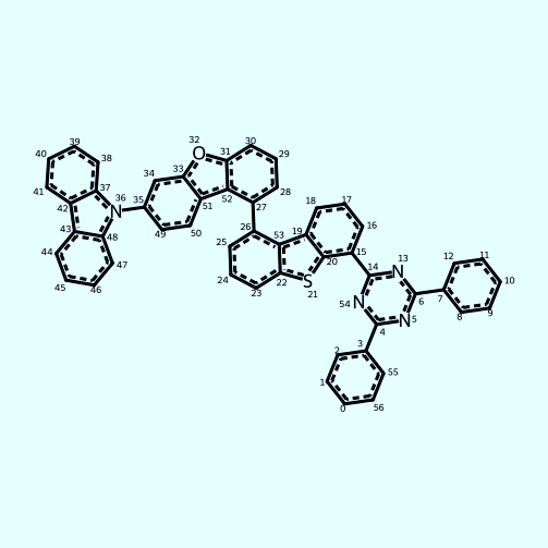 c1ccc(-c2nc(-c3ccccc3)nc(-c3cccc4c3sc3cccc(-c5cccc6oc7cc(-n8c9ccccc9c9ccccc98)ccc7c56)c34)n2)cc1